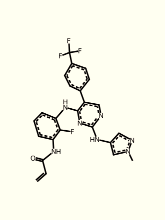 C=CC(=O)Nc1cccc(Nc2nc(Nc3cnn(C)c3)ncc2-c2ccc(C(F)(F)F)cc2)c1F